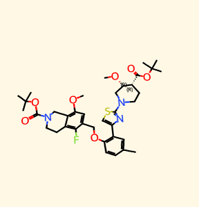 COc1cc(COc2ccc(C)cc2-c2csc(N3CC[C@@H](C(=O)OC(C)(C)C)[C@@H](OC)C3)n2)c(F)c2c1CN(C(=O)OC(C)(C)C)CC2